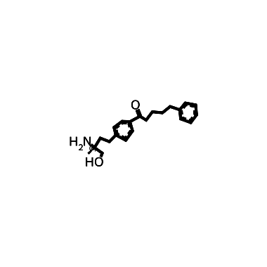 C[C@](N)(CO)CCc1ccc(C(=O)CCCCc2ccccc2)cc1